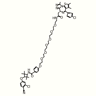 Cc1sc2c(c1C)C(c1ccc(Cl)cc1)=N[C@@H](CC(=O)NCCOCCOCCOCCOCCOCCOCCOc1ccc(C(=O)NC3C(C)(C)C(Oc4ccc(C#N)c(Cl)c4)C3(C)C)cc1)c1nnc(C)n1-2